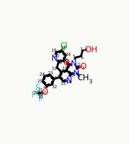 Cn1c(=O)n(CCCO)c(=O)c2c(Cc3ccc(Cl)cn3)c(-c3cccc(OC(F)(F)F)c3)cnc21